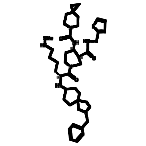 CSNCCCC[C@@H](NC1CCC2(CC1)CCN(Cc1ccccc1)C2)C(=O)N1CC[C@@H](NC(=O)N2CCC3(CC2)CC3)[C@@H](C(=O)NCc2cccs2)C1